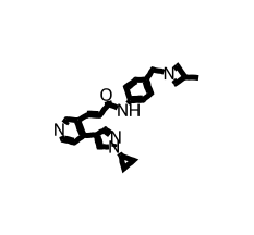 CC1CN(Cc2ccc(NC(=O)/C=C/c3cnccc3-c3cnn(C4CC4)c3)cc2)C1